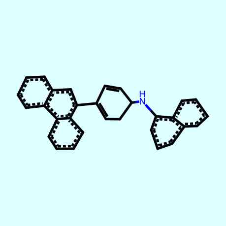 C1=CC(Nc2cccc3ccccc23)CC=C1c1cc2ccccc2c2ccccc12